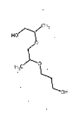 CC(CO)OCC(C)OCCCO